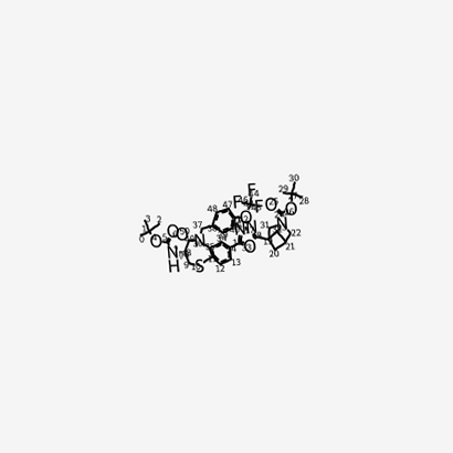 CC(C)(C)OC(=O)N[C@H]1CSc2ccc(-c3nnc(C45CC(CN(C(=O)OC(C)(C)C)C4)C5)o3)cc2N(Cc2ccc(OC(F)(F)F)cc2)C1=O